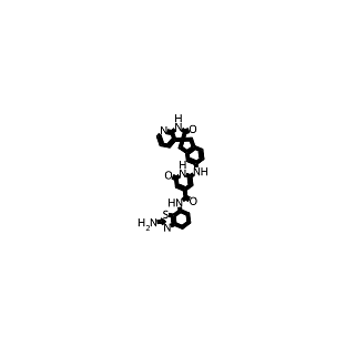 Nc1nc2c(s1)C(NC(=O)c1cc(Nc3ccc4c(c3)CC3(C4)C(=O)Nc4ncccc43)[nH]c(=O)c1)CCC2